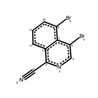 N#Cc1ncc(Br)c2c(Br)cccc12